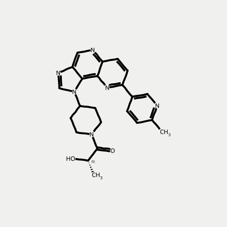 Cc1ccc(-c2ccc3ncc4ncn(C5CCN(C(=O)[C@H](C)O)CC5)c4c3n2)cn1